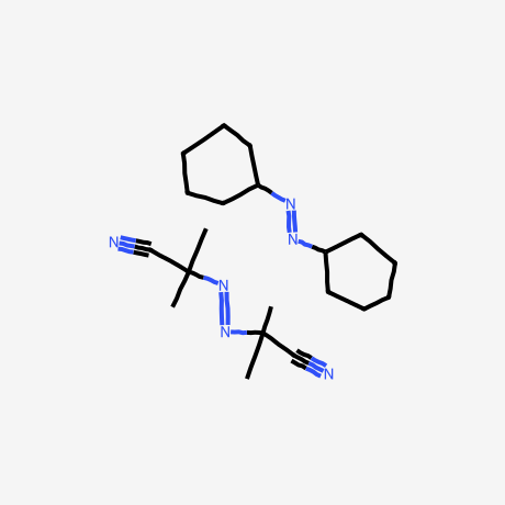 C1CCC(N=NC2CCCCC2)CC1.CC(C)(C#N)N=NC(C)(C)C#N